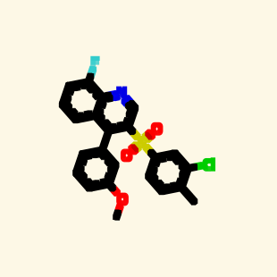 COc1cccc(-c2c(S(=O)(=O)c3ccc(C)c(Cl)c3)cnc3c(F)cccc23)c1